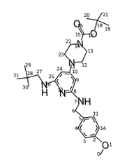 COc1ccc(CNc2cc(N3CCN(C(=O)OC(C)(C)C)CC3)cc(NCC(C)(C)C)n2)cc1